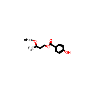 CCCCCCOC(CCOC(=O)c1ccc(O)cc1)C(F)(F)F